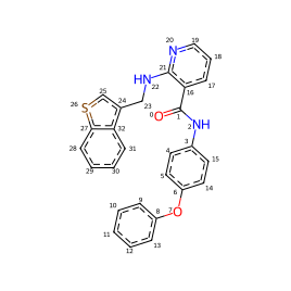 O=C(Nc1ccc(Oc2ccccc2)cc1)c1cccnc1NCc1csc2ccccc12